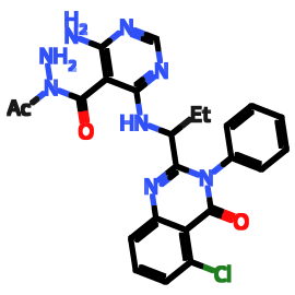 CCC(Nc1ncnc(N)c1C(=O)N(N)C(C)=O)c1nc2cccc(Cl)c2c(=O)n1-c1ccccc1